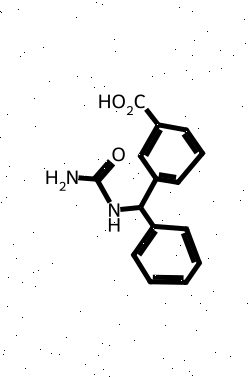 NC(=O)NC(c1ccccc1)c1cccc(C(=O)O)c1